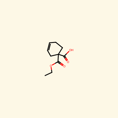 CCOC(=O)C1(C(=O)O)CC=CCC1